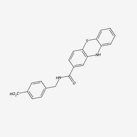 O=C(O)c1ccc(CNC(=O)c2ccc3c(c2)Nc2ccccc2S3)cc1